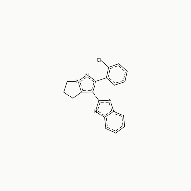 Clc1ccccc1-c1nn2c(c1-c1nc3ccccc3s1)CCC2